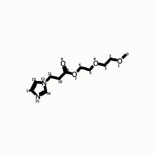 COCCOCCOC(=O)CCn1ccnc1